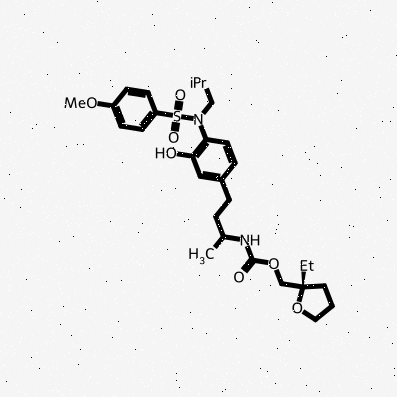 CC[C@@]1(COC(=O)NC(C)CCc2ccc(N(CC(C)C)S(=O)(=O)c3ccc(OC)cc3)c(O)c2)CCCO1